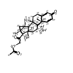 CC(=O)OCC(=O)[C@@]1(O)[C@@H]2C[C@@H]2[C@H]2[C@@H]3CCC4=CC(=O)C=C[C@]4(C)[C@H]3[C@H](O)C[C@@]21C